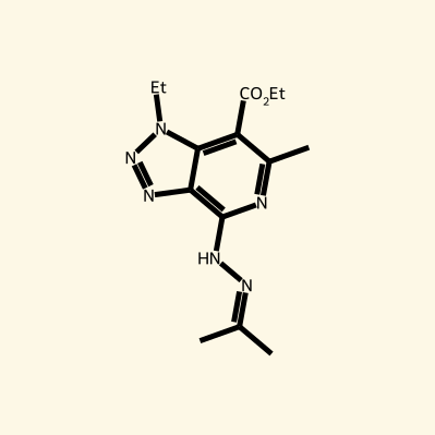 CCOC(=O)c1c(C)nc(NN=C(C)C)c2nnn(CC)c12